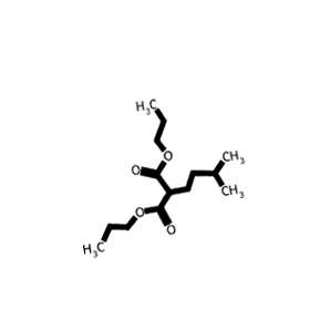 CCCOC(=O)C(CCC(C)C)C(=O)OCCC